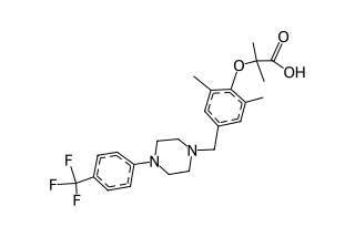 Cc1cc(CN2CCN(c3ccc(C(F)(F)F)cc3)CC2)cc(C)c1OC(C)(C)C(=O)O